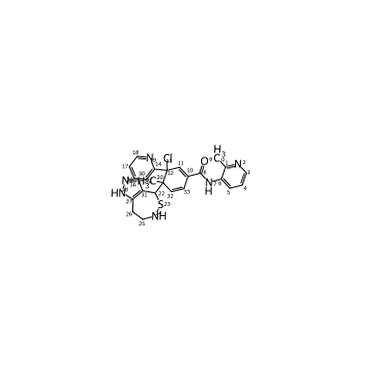 Cc1ncccc1NC(=O)C1=CC(Cl)(c2ccccn2)C(C)(C2SNCCc3[nH]ncc32)C=C1